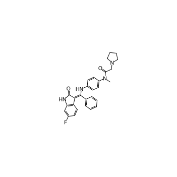 CN(C(=O)CN1CCCC1)c1ccc(N/C(=C2\C(=O)Nc3cc(F)ccc32)c2ccccc2)cc1